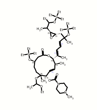 CCOC(C)O[C@]1(C)CC[C@@H](O[Si](CC)(CC)CC)CC(=O)O[C@H](/C(C)=C/C=C/C(C)(C[C@@H]2O[C@H]2C(C)C(CC)O[Si](CC)(CC)CC)O[Si](CC)(CC)CC)[C@@H](C)/C=C/[C@@H]1OC(=O)N1CCN(C)CC1